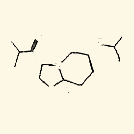 CC(C)N[C@@H]1CC[C@H]2SC[C@H](C(=O)C(C)C)N2C1